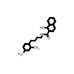 Cc1ccc(CCCCNC(=O)c2ccc3ccccc3c2O)c(C)c1